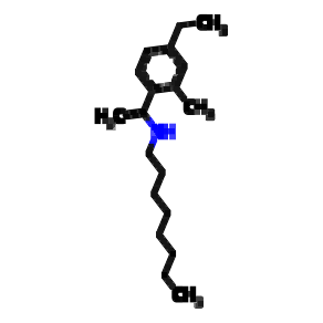 C=C(NCCCCCCCC)c1ccc(CC)cc1C